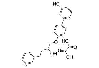 N#Cc1cccc(-c2ccc(OCC(O)CCc3cccnc3)cc2)c1.O=C(O)C(=O)O